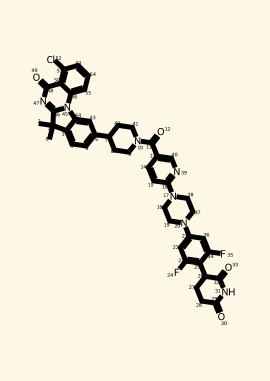 CC1(C)c2ccc(C3CCN(C(=O)c4ccc(N5CCN(c6cc(F)c(C7CCC(=O)NC7=O)c(F)c6)CC5)nc4)CC3)cc2-n2c1nc(=O)c1c(Cl)cccc12